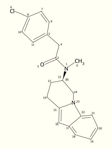 CN(C(=O)Cc1ccc(Cl)cc1)[C@@H]1CCc2[c]c3ccccc3n2C1